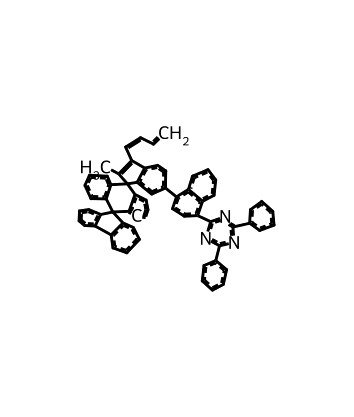 C=C/C=C\C1=C(C)C2(c3cc(-c4ccc(-c5nc(-c6ccccc6)nc(-c6ccccc6)n5)c5ccccc45)ccc31)c1ccccc1C1(c3ccccc3-c3ccccc31)c1ccccc12